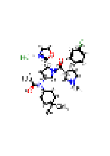 CC1(C)CCC(N(C(=O)C(C)(C)C)[C@H]2C[C@@H](C3=NCCO3)N(C(=O)[C@@H]3CN(C(C)(C)C)C[C@H]3c3ccc(Cl)cc3)C2)CC1.Cl